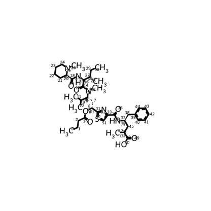 CCCC(=O)O[C@H](C[C@H](C(C)C)N(C)C(=O)[C@@H](NC(=O)[C@H]1CCCCN1C)[C@@H](C)CC)c1nc(C(=O)N[C@@H](Cc2ccccc2)C[C@H](C)C(=O)O)cs1